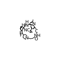 Cc1cc2c3cc(C4(C#N)CC4)cc(c3n1)CCCNC(=O)CCN1CCC(CC1)C(F)(F)c1cccc(c1F)[C@@H](C)N2